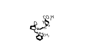 Cc1ccccc1NC[C@H]1CCC(=O)N1CCSc1nc(C(=O)O)cs1